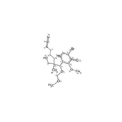 COCOC(c1[nH]cc(Br)c(=O)c1OC)C(C)(CO)CCCN=[N+]=[N-]